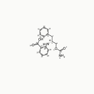 NC(=O)OC[C@H](N)Cc1ccccc1.O=C(O)c1ccccc1